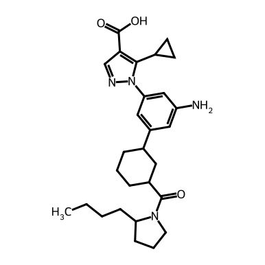 CCCCC1CCCN1C(=O)C1CCCC(c2cc(N)cc(-n3ncc(C(=O)O)c3C3CC3)c2)C1